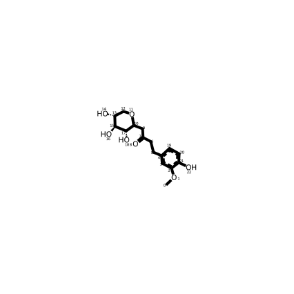 COc1cc(CCC(=O)CC2OC[C@@H](O)[C@H](O)[C@H]2O)ccc1O